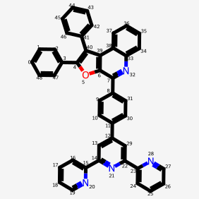 c1ccc(-c2oc3c(-c4ccc(-c5cc(-c6ccccn6)nc(-c6ccccn6)c5)cc4)nc4ccccc4c3c2-c2ccccc2)cc1